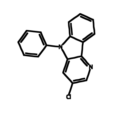 Clc1cnc2c3ccccc3n(-c3ccccc3)c2c1